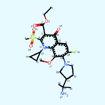 CCOC(=O)c1c(S(C)(=O)=O)n(C2CC2)c2c(OC)c(N3CCC(C(C)(C)N)C3)c(F)cc2c1=O